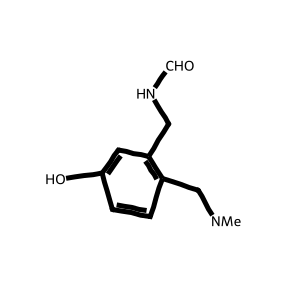 CNCc1ccc(O)cc1CNC=O